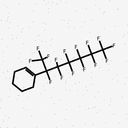 FC(F)(F)C(F)(F)C(F)(F)C(F)(F)C(F)(F)C(F)(C1=CCCCC1)C(F)(F)F